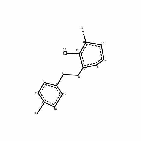 Cc1ccc(CCc2cccc(F)c2Cl)cc1